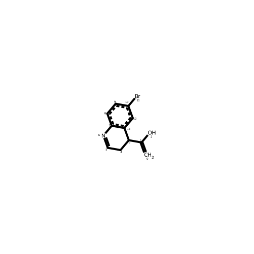 C=C(O)C1CC=Nc2ccc(Br)cc21